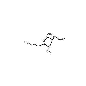 CCCCC1O[C@H](C)C(NC=O)C[C@@H]1C